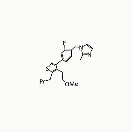 COCCc1c(-c2ccc(Cn3ccnc3C)c(F)c2)[c]sc1CC(C)C